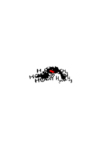 COC(C)(C)/C=C/C[C@@H](C)[C@H]1CC[C@@]2(C)[C@@H]3C=C[C@@]45OC[C@]3(CC[C@]12C)[C@@H]4CC[C@H](O[C@@H]1O[C@H](CO)[C@@H](O)[C@H](O)[C@H]1O)C5(C)C